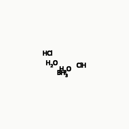 B.Cl.Cl.O.O